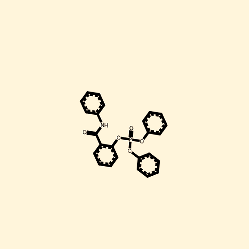 O=C(Nc1ccccc1)c1ccccc1OP(=O)(Oc1ccccc1)Oc1ccccc1